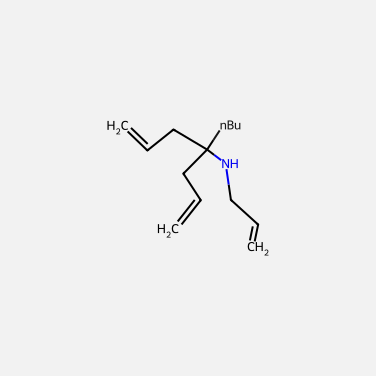 C=CCNC(CC=C)(CC=C)CCCC